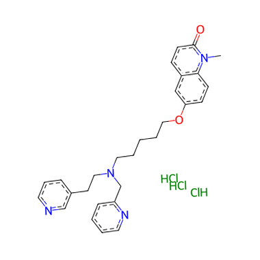 Cl.Cl.Cl.Cn1c(=O)ccc2cc(OCCCCCN(CCc3cccnc3)Cc3ccccn3)ccc21